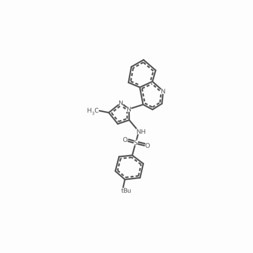 Cc1cc(NS(=O)(=O)c2ccc(C(C)(C)C)cc2)n(-c2ccnc3ccccc23)n1